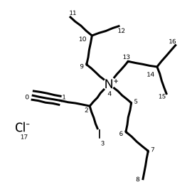 C#CC(I)[N+](CCCC)(CC(C)C)CC(C)C.[Cl-]